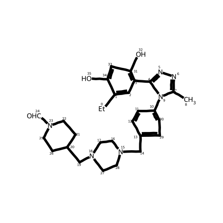 CCc1cc(-c2nnc(C)n2-c2ccc(CN3CCN(CC4CCN(C=O)CC4)CC3)cc2)c(O)cc1O